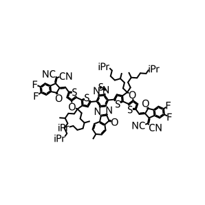 CC1C=CC2=C(C=C1)c1nc3c(-c4cc5c(s4)-c4sc(/C=C6\C(=O)c7cc(F)c(F)cc7C6=C(C#N)C#N)cc4OC5(CCC(C)CCCC(C)C)CCC(C)CCCC(C)C)c4nsnc4c(-c4cc5c(s4)-c4sc(/C=C6\C(=O)c7cc(F)c(F)cc7C6=C(C#N)C#N)cc4OC5(CCC(C)CCCC(C)C)CCC(C)CCCC(C)C)c3nc1C2=O